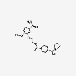 CCOc1ccc(C(=N)N)cc1OCCOC(=O)c1ccc(C(=N)N2CCCC2)cc1